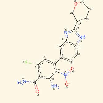 NC(=O)c1c(F)cc(-c2ccc3[nH]c(C4CCCOC4)nc3c2)c([N+](=O)[O-])c1N